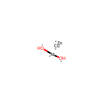 [Cu].[OH][Ni][OH].[Zn]